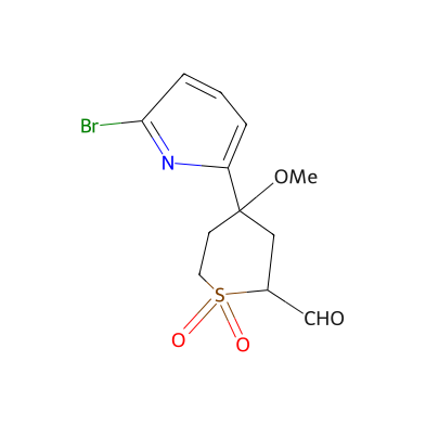 COC1(c2cccc(Br)n2)CCS(=O)(=O)C(C=O)C1